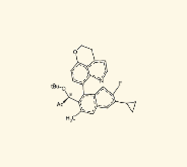 CC(=O)[C@@H](OC(C)(C)C)c1c(C)cc2cc(C3CC3)c(F)cc2c1-c1ccc2c3c(ccnc13)CCO2